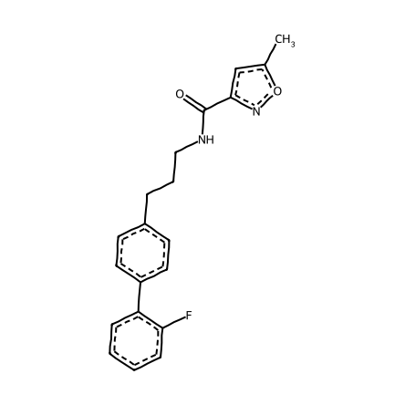 Cc1cc(C(=O)NCCCc2ccc(-c3ccccc3F)cc2)no1